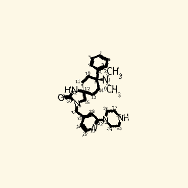 CN(C)[C@]1(c2ccccc2)CC[C@]2(CC1)CN(Cc1ccnc(N3CCNCC3)c1)C(=O)N2